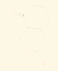 O=C1CCC=C2C=C(O)OC=C12